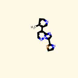 Cc1ccncc1-c1ccnn2c(-c3nccs3)cnc12